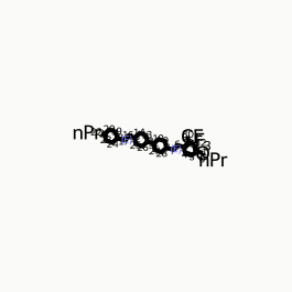 CCCOc1ccc(/C=C/C2CCC(C3CCC(/C=C/C4CCC(CCC)CC4)CC3)CC2)c(C(F)(F)F)c1F